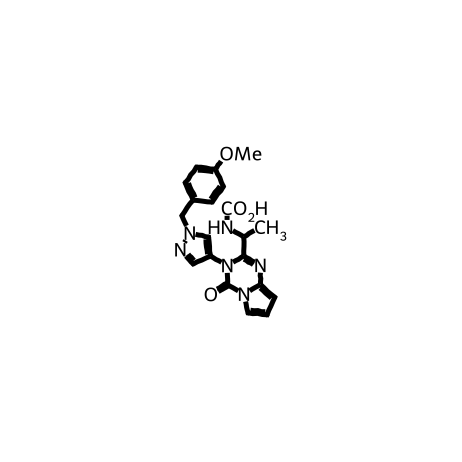 COc1ccc(Cn2cc(-n3c(C(C)NC(=O)O)nc4cccn4c3=O)cn2)cc1